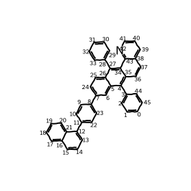 c1ccc(-c2c3cc(-c4ccc(-c5cccc6ccccc56)cc4)ccc3c(-c3ccccc3)c3c2ccc2cccnc23)cc1